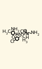 CC[C@@H](N[C@H](C)CC(=O)NCCN)c1ccc(Cl)c(Oc2ccc(N)c(C)c2)c1F